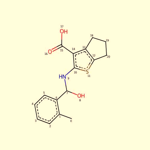 Cc1ccccc1C(O)Nc1sc2c(c1C(=O)O)CCC2